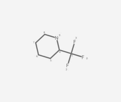 FC(F)(F)C1CCCC[N]1